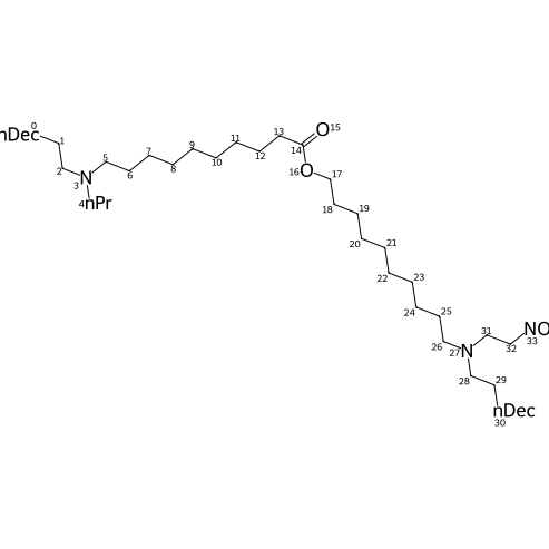 CCCCCCCCCCCCN(CCC)CCCCCCCCCC(=O)OCCCCCCCCCCN(CCCCCCCCCCCC)CCN=O